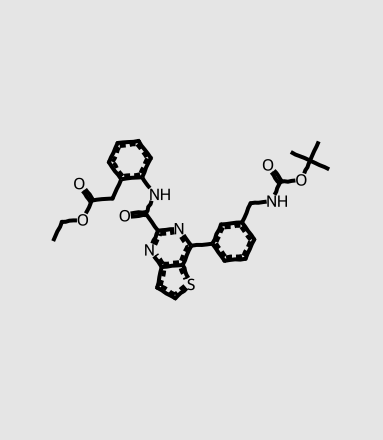 CCOC(=O)Cc1ccccc1NC(=O)c1nc(-c2cccc(CNC(=O)OC(C)(C)C)c2)c2sccc2n1